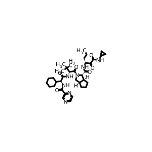 CCC[C@@H](NC(=O)[C@@H]1[C@H]2CCC[C@H]2CN1C(=O)[C@H](NC(=O)[C@H](NC(=O)c1cnccn1)C1CCCCC1)C(C)(C)C)C(=O)C(=O)NC1CC1